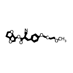 COCCCCOc1ccc(/C=C(\C#N)C(=O)OC2COC3CCOC32)cc1